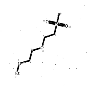 CCOCCOCCS(C)(=O)=O